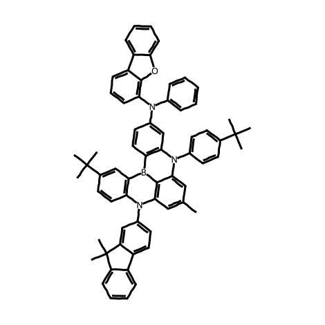 Cc1cc2c3c(c1)N(c1ccc(C(C)(C)C)cc1)c1cc(N(c4ccccc4)c4cccc5c4oc4ccccc45)ccc1B3c1cc(C(C)(C)C)ccc1N2c1ccc2c(c1)C(C)(C)c1ccccc1-2